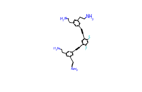 NCCc1cc(C#Cc2cc(C#Cc3cc(CCN)cc(CCN)c3)c(F)cc2F)cc(CCN)c1